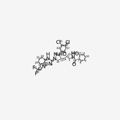 CC(O)(CNC(=O)c1ccccc1O)CC1CN(C(=NC#N)Nc2cccc(OC(F)F)c2)N=C1c1ccc(Cl)c(Cl)c1